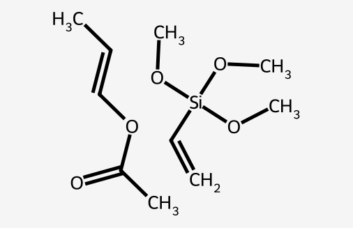 C=C[Si](OC)(OC)OC.CC=COC(C)=O